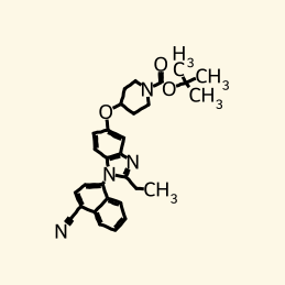 CCc1nc2cc(OC3CCN(C(=O)OC(C)(C)C)CC3)ccc2n1-c1ccc(C#N)c2ccccc12